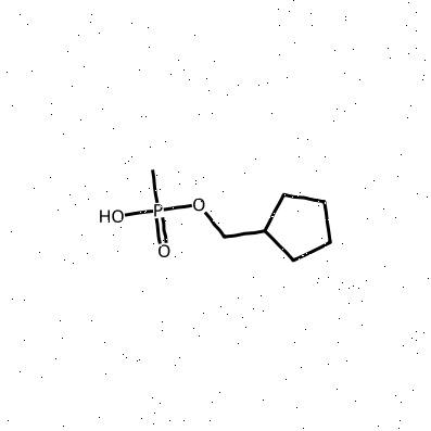 CP(=O)(O)OCC1CCCC1